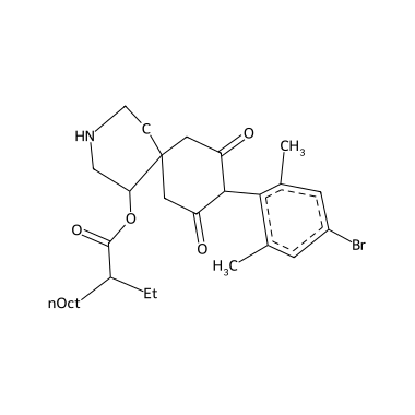 CCCCCCCCC(CC)C(=O)OC1CNCCC12CC(=O)C(c1c(C)cc(Br)cc1C)C(=O)C2